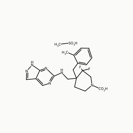 CS(=O)(=O)O.Cc1ccccc1CC1(CNc2ncc3cn[nH]c3n2)CCN(C(=O)O)CC1(F)F